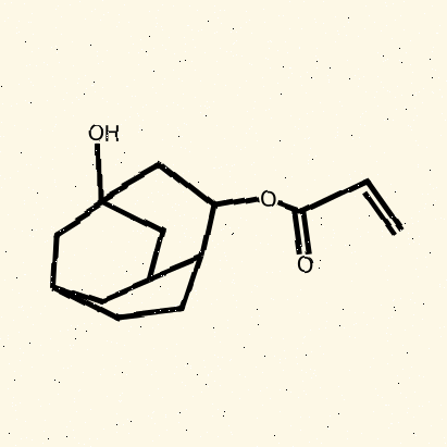 C=CC(=O)OC1CC2(O)CC3CCC1C(C3)C2